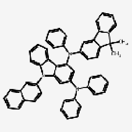 CC1(C)c2ccccc2-c2cc(N(c3ccccc3)c3cc(N(c4ccccc4)c4ccccc4)cc4c3c3ccccc3n4-c3ccc4ccccc4c3)ccc21